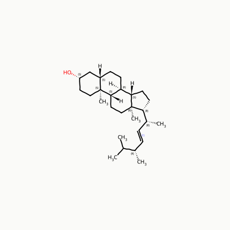 CC(C)[C@@H](C)/C=C/[C@@H](C)[C@H]1CC[C@H]2[C@@H]3CC[C@H]4C[C@@H](O)CC[C@]4(C)[C@H]3CC[C@]12C